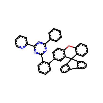 c1ccc(-c2nc(-c3ccccn3)nc(-c3ccccc3-c3ccc4c(c3)C3(c5ccccc5O4)c4ccccc4-c4ccccc43)n2)cc1